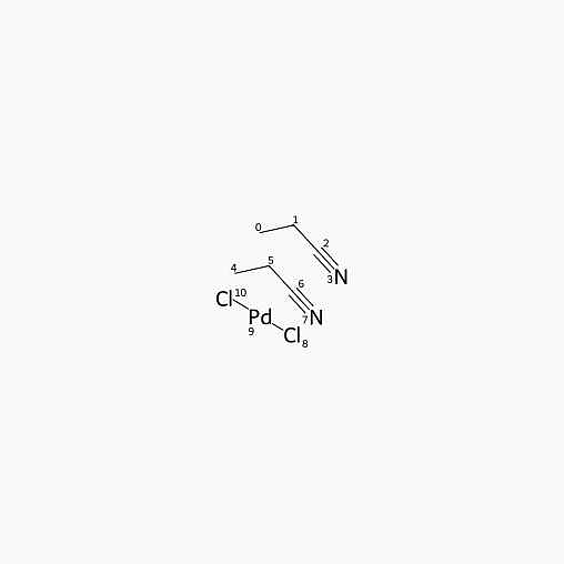 CCC#N.CCC#N.[Cl][Pd][Cl]